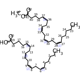 CCCCC/C=C\C/C=C\C/C=C\C/C=C\CCCC(=O)O.CCCCC/C=C\C/C=C\C/C=C\C/C=C\CCCC(=O)OC